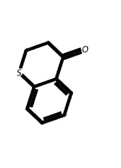 O=C1CCSc2cc[c]cc21